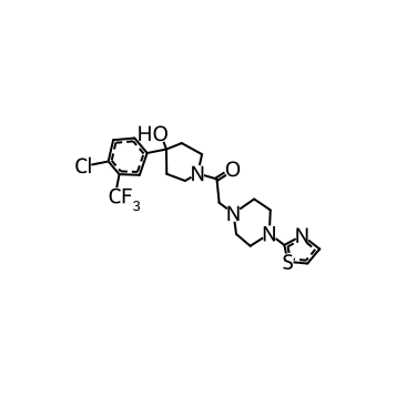 O=C(CN1CCN(c2nccs2)CC1)N1CCC(O)(c2ccc(Cl)c(C(F)(F)F)c2)CC1